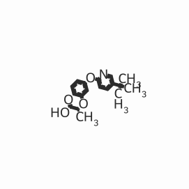 C[C@H](Oc1cccc(Oc2ccc(C(C)(C)C)cn2)c1)C(=O)O